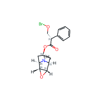 CN1[C@@H]2C[C@@H](OC(=O)[C@H](COBr)c3ccccc3)C[C@H]1[C@@H]1O[C@@H]12